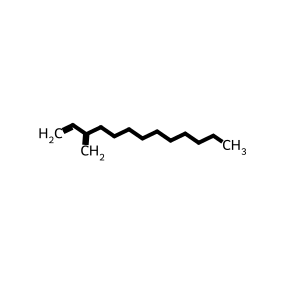 C=CC(=C)CCCCCCCCCC